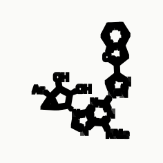 CNc1nc(-n2cc(-c3cc4ccccc4o3)nn2)nc2c1ncn2[C@@H]1C2C[C@]2(C(C)=O)C(O)[C@H]1O